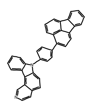 c1ccc2c(c1)-c1cccc3c(-c4ccc(-n5c6ccccc6c6c7cnccc7ccc65)cc4)ccc-2c13